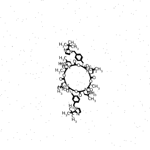 CC(C)C[C@H]1C(=O)O[C@H](Cc2cccc(Cn3ccnc3C(C)(C)C)c2)C(=O)N(C)[C@@H](CC(C)C)C(=O)O[C@H](C)C(=O)N(C)[C@@H](CC(C)C)C(=O)O[C@H](Cc2ccc(Cn3ccnc3C(C)(C)C)cc2)C(=O)N(C)[C@@H](CC(C)C)C(=O)O[C@H](C)C(=O)N1C